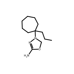 CCCC1(N2COC(N)=N2)CCCCCC1